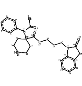 CCC(=O)N(c1ccccc1)C1(C(=O)OCCCN2C(=O)Cc3ccccc32)CCNCC1